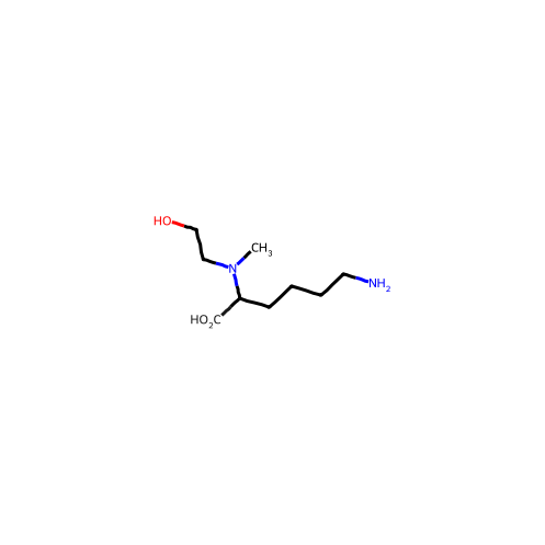 CN(CCO)C(CCCCN)C(=O)O